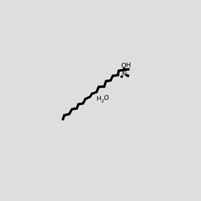 CCCCCCCCCCCCCCCCCCC(C)(O)N(C)C.O